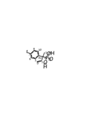 C=CC(C)(c1ccc(C)cc1)P(=O)(O)O